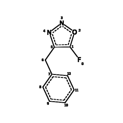 Fc1onnc1Cc1ccccc1